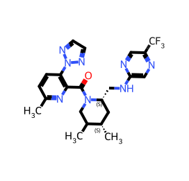 Cc1ccc(-n2nccn2)c(C(=O)N2CC(C)[C@@H](C)C[C@H]2CNc2cnc(C(F)(F)F)cn2)n1